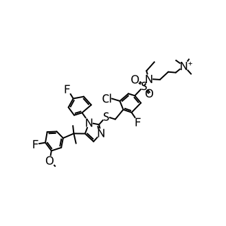 CCN(CCC[N+](C)(C)C)S(=O)(=O)c1cc(F)c(CSc2ncc(C(C)(C)c3ccc(F)c(OC)c3)n2-c2ccc(F)cc2)c(Cl)c1